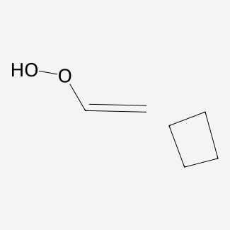 C1CCC1.C=COO